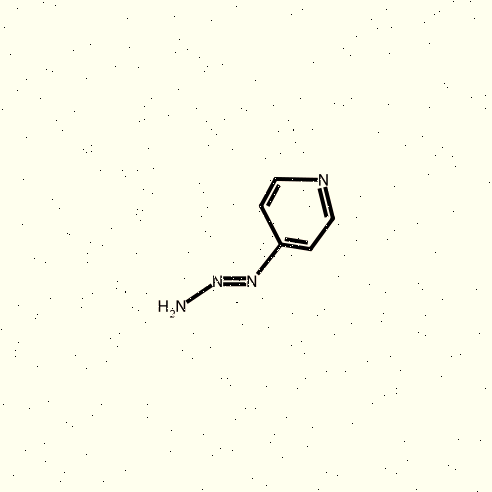 NN=Nc1ccncc1